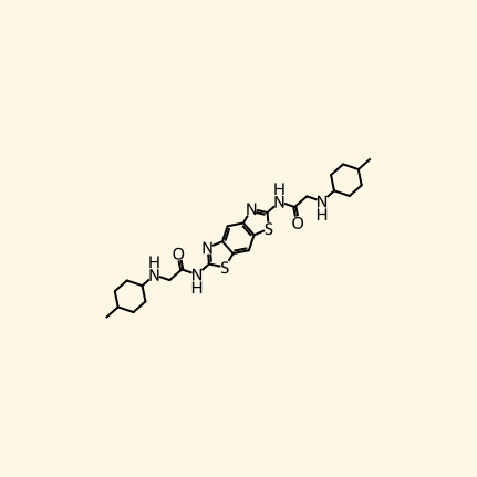 CC1CCC(NCC(=O)Nc2nc3cc4nc(NC(=O)CNC5CCC(C)CC5)sc4cc3s2)CC1